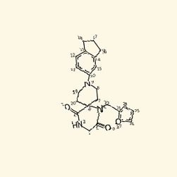 O=C1CNC(=O)C2(CCN(c3ccc4c(c3)CCC4)CC2)N1Cc1ccco1